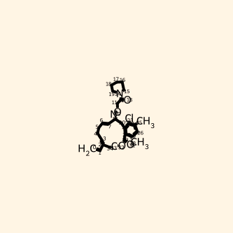 C=C/C1=C\CC/C=C/C(=N/OCC(=O)N2CCCCC2)Cc2c(Cl)c(C)cc(C)c2C(=O)OCC1